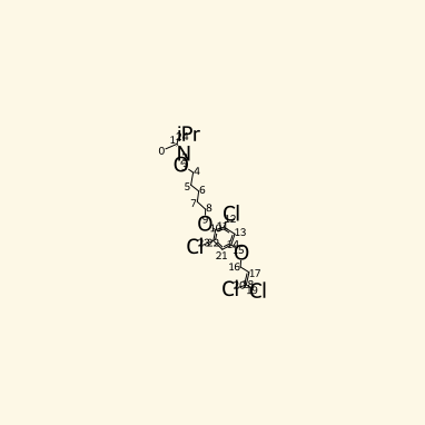 CC(=NOCCCCCOc1c(Cl)cc(OCC=C(Cl)Cl)cc1Cl)C(C)C